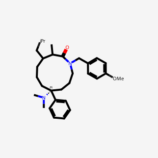 COc1ccc(CN2CCC[C@](c3ccccc3)(N(C)C)CCCC(CC(C)C)C(C)C2=O)cc1